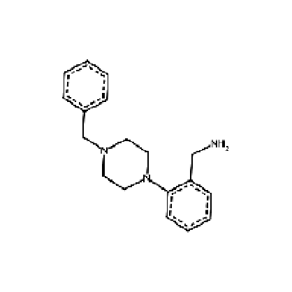 NCc1ccccc1N1CCN(Cc2ccccc2)CC1